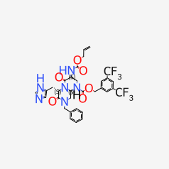 C=CCOC(=O)N[C@H]1CN(C(=O)OCc2cc(C(F)(F)F)cc(C(F)(F)F)c2)[C@H]2CN(Cc3ccccc3)C(=O)[C@H](Cc3cnc[nH]3)N2C1=O